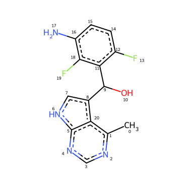 Cc1ncnc2[nH]cc(C(O)c3c(F)ccc(N)c3F)c12